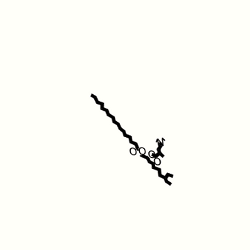 CCCCCCCCCCCCCCCCC(=O)OCC(CCCCCC(CC)CC)OC(=O)C(C)CCN(C)C